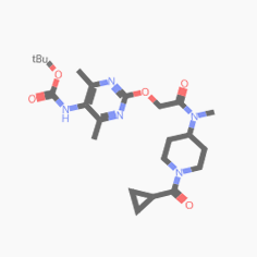 Cc1nc(OCC(=O)N(C)C2CCN(C(=O)C3CC3)CC2)nc(C)c1NC(=O)OC(C)(C)C